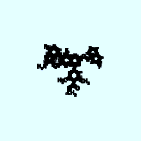 C=CC(=O)N1C(C)CN(c2nc(OCC34CCCN3CC(F)C4)nc3c(F)c(-c4ccc(F)c5sc(N)c(C#N)c45)c(C(F)(F)F)cc23)CC1C